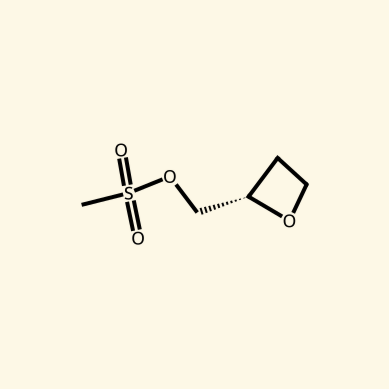 CS(=O)(=O)OC[C@@H]1CCO1